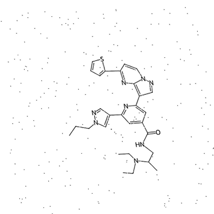 CCCn1cc(-c2cc(C(=O)NCC(C)N(CC)CC)cc(-c3cnn4ccc(-c5cccs5)nc34)n2)cn1